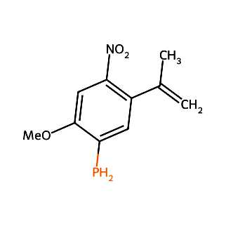 C=C(C)c1cc(P)c(OC)cc1[N+](=O)[O-]